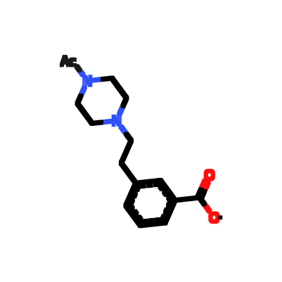 CC(=O)N1CCN(CCc2cccc(C([O])=O)c2)CC1